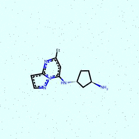 CCc1cc(N[C@@H]2CC[C@@H](N)C2)n2nccc2n1